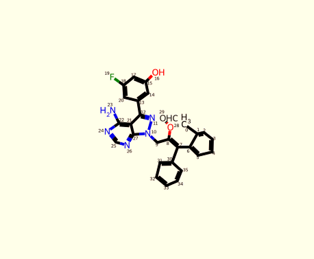 Cc1ccccc1/C(=C(/Cn1nc(-c2cc(O)cc(F)c2)c2c(N)ncnc21)OC=O)c1ccccc1